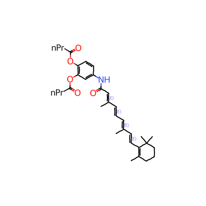 CCCC(=O)Oc1ccc(NC(=O)/C=C(C)/C=C/C=C(C)/C=C/C2=C(C)CCCC2(C)C)cc1OC(=O)CCC